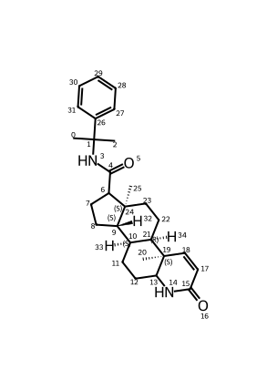 CC(C)(NC(=O)C1CC[C@H]2[C@@H]3CCC4NC(=O)C=C[C@]4(C)[C@@H]3CC[C@]12C)c1ccccc1